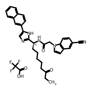 CCC(=O)CCCCC[C@H](NC(=O)Cn1ccc2cc(C#N)ccc21)c1ncc(-c2ccc3ccccc3c2)[nH]1.O=C(O)C(F)(F)F